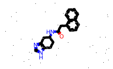 O=C(Cc1cccc2ccccc12)NC1CCc2[nH]cnc2C1